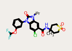 CC(C)n1c(=O)n(-c2cccc(OC(F)F)c2)c2cc(Cl)c(C(=O)NC3(C)CCS(=O)(=O)CC3)cc21